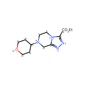 CCOC(=O)c1nnc2n1CCN(C1CCOCC1)C2